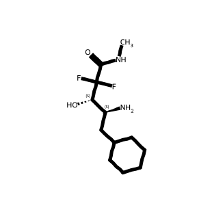 CNC(=O)C(F)(F)[C@@H](O)[C@@H](N)CC1CCCCC1